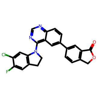 O=C1OCc2ccc(-c3ccc4ncnc(N5CCc6cc(F)c(Cl)cc65)c4c3)cc21